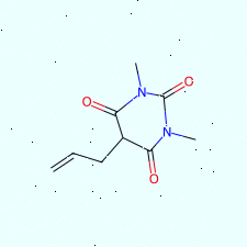 C=CCC1C(=O)N(C)C(=O)N(C)C1=O